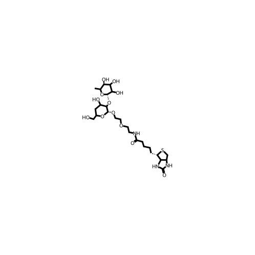 CC1O[C@@H](OC2C(O)CC(CO)O[C@H]2OCCOCCNC(=O)CCCC[C@@H]2SCC3NC(=O)NC32)C(O)C(O)[C@@H]1O